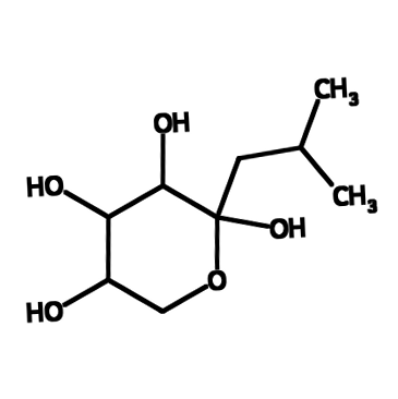 CC(C)CC1(O)OCC(O)C(O)C1O